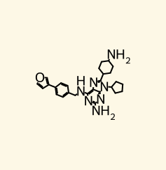 Nc1nc(NCc2ccc(-c3ccoc3)cc2)c2nc(C3CCC(N)CC3)n(C3CCCC3)c2n1